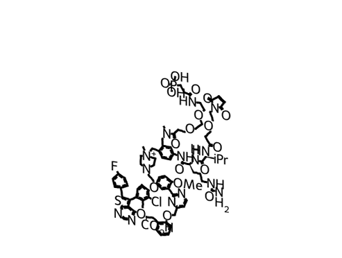 COc1ccccc1-c1nccc(COc2ccccc2C[C@@H](Oc2ncnc3sc(-c4ccc(F)cc4)c(-c4ccc(OCCN5CC[N+](C)(Cc6ccc(NC(=O)[C@H](CCCNC(N)=O)NC(=O)[C@@H](NC(=O)CCOCCN7C(=O)C=CC7=O)C(C)C)cc6CN(C)C(=O)CCOCCOCCNC(=O)CCP(=O)(O)O)CC5)c(Cl)c4C)c23)C(=O)O)n1